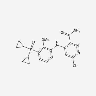 COc1c(Nc2cc(Cl)nnc2C(N)=O)cccc1P(=O)(C1CC1)C1CC1